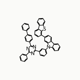 c1ccc(-c2ccc(-c3nc(-c4ccccc4)nc(-c4cccc(-n5c6ccccc6c6ccc(-c7cccc8c7sc7ccccc78)cc65)c4)n3)cc2)cc1